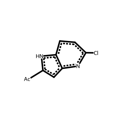 CC(=O)c1cc2nc(Cl)ccc2[nH]1